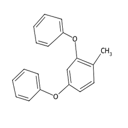 Cc1ccc(Oc2ccccc2)cc1Oc1ccccc1